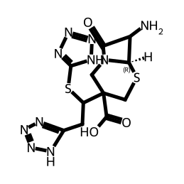 NC1C(=O)N2CC(C(=O)O)(C(Cc3nnn[nH]3)Sc3nnn[nH]3)CS[C@H]12